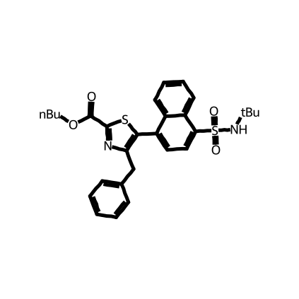 CCCCOC(=O)c1nc(Cc2ccccc2)c(-c2ccc(S(=O)(=O)NC(C)(C)C)c3ccccc23)s1